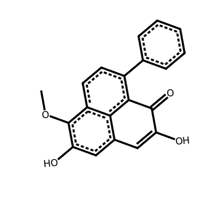 COc1c(O)cc2c3c(c(-c4ccccc4)ccc13)C(=O)C(O)=C2